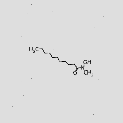 CCCCCCCCCCC(=O)N(C)O